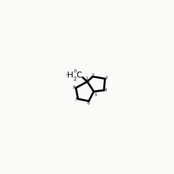 [CH2]C12CCCC1CCC2